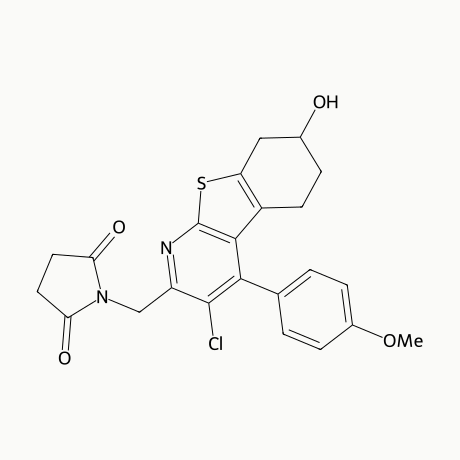 COc1ccc(-c2c(Cl)c(CN3C(=O)CCC3=O)nc3sc4c(c23)CCC(O)C4)cc1